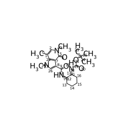 Cc1cn(C)c(=O)c2c(C(=O)N[C@@H]3CCCC[C@H]3NC(=O)OC(C)(C)C)cn(C)c12